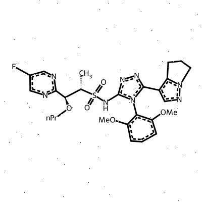 CCCO[C@@H](c1ncc(F)cn1)[C@H](C)S(=O)(=O)Nc1nnc(-c2cnn3c2CCC3)n1-c1c(OC)cccc1OC